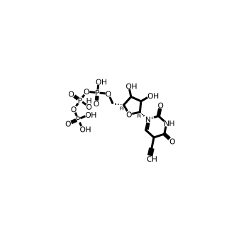 C#CC1C=[N+]([C@@H]2O[C@H](COP(=O)(O)OP(=O)(O)OP(=O)(O)O)C(O)C2O)C(=O)NC1=O